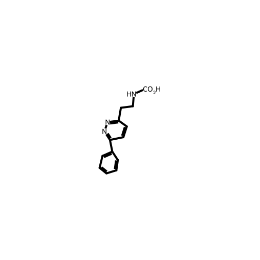 O=C(O)NCCc1ccc(-c2ccccc2)nn1